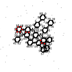 c1ccc(-c2ccc(N(c3ccc(-c4ccccc4)cc3)c3cc(-c4c(-c5cccc(N(c6ccccc6)c6ccccc6)c5)cccc4-c4ccc5c(c4)c4ccccc4n5-c4ccccc4)cc(N(c4ccc(-c5ccccc5)cc4)c4ccc(-c5ccccc5)cc4)c3)cc2)cc1